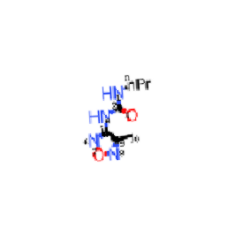 CCCNC(=O)Nc1nonc1C